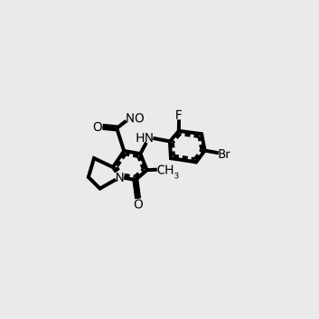 Cc1c(Nc2ccc(Br)cc2F)c(C(=O)N=O)c2n(c1=O)CCC2